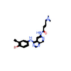 C#Cc1cc(Nc2ncnc3cnc(NC(=O)C=CCN(C)C)cc23)ccc1Br